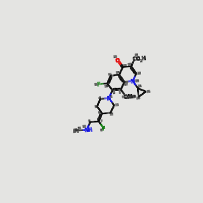 COc1c(N2CCC(=C(F)CNC(C)C)CC2)c(F)cc2c(=O)c(C(=O)O)cn(C3CC3)c12